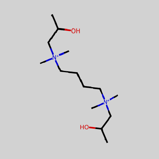 CC(O)C[N+](C)(C)CCCC[N+](C)(C)CC(C)O